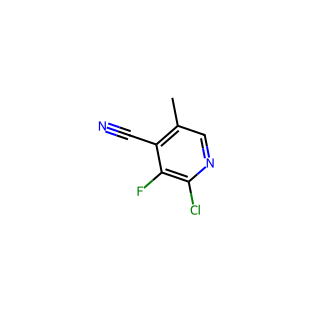 Cc1cnc(Cl)c(F)c1C#N